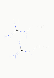 CCCCCNC(=N)N.CCCCCNC(=N)N